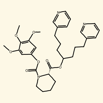 COc1cc(OC(=O)N2CCCC[C@H]2C(=O)OC(CCCc2cccnc2)CCCc2cccnc2)cc(OC)c1OC